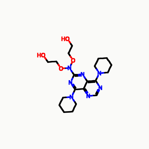 OCCON(OCCO)c1nc(N2CCCCC2)c2ncnc(N3CCCCC3)c2n1